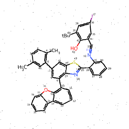 Cc1ccc(C)c(-c2cc(-c3cccc4c3oc3ccccc34)c3nc(-c4ccccc4/N=C/c4cc(I)cc(C(C)(C)C)c4O)sc3c2)c1